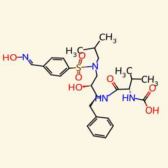 CC(C)CN(C[C@H](O)[C@H](Cc1ccccc1)NC(=O)[C@@H](NC(=O)O)C(C)C)S(=O)(=O)c1ccc(C=NO)cc1